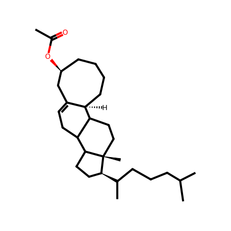 CC(=O)O[C@H]1CCCC[C@@H]2C(=CCC3C2CC[C@@]2(C)C3CC[C@@H]2C(C)CCCC(C)C)C1